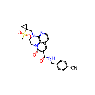 CS(=O)(=O)C1(CN2CCn3c(=O)c(C(=O)NCc4ccc(C#N)cc4)cc4ccnc2c43)CC1